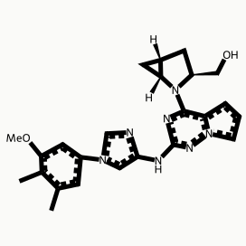 COc1cc(-n2cnc(Nc3nc(N4[C@H](CO)C[C@H]5C[C@H]54)c4cccn4n3)c2)cc(C)c1C